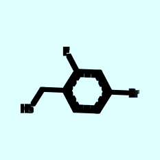 Fc1cc(Br)ccc1CS